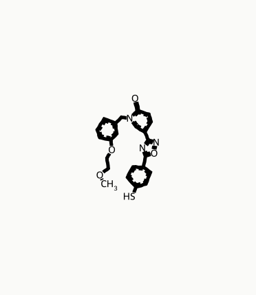 COCCOc1cccc(Cn2cc(-c3noc(-c4ccc(S)cc4)n3)ccc2=O)c1